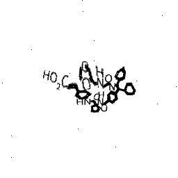 O=C(O)C=Cc1ccc(NC(=O)C2(NC(=O)c3ccc4c(C5CCCCC5)c(-c5ccccc5)n(C(=O)CNCC5COCCO5)c4c3)CCCC2)cc1